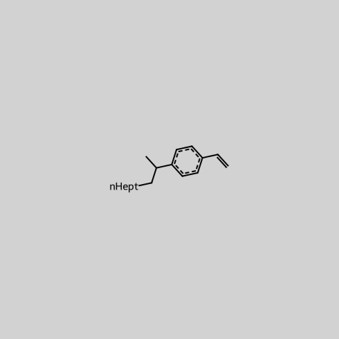 C=Cc1ccc(C(C)CCCCCCCC)cc1